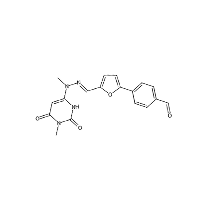 CN(/N=C/c1ccc(-c2ccc(C=O)cc2)o1)c1cc(=O)n(C)c(=O)[nH]1